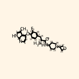 Cc1c[nH]c2nccc(Oc3ccc(CC(N)C(=O)NC4CCN(C5COC5)CC4)cc3F)c12